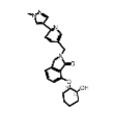 Cn1cc(-c2ccc(CN3Cc4cccc(O[C@H]5CCCC[C@@H]5O)c4C3=O)cn2)cn1